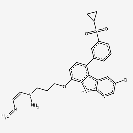 C=N/C=C\N(N)CCCOc1ccc(-c2cccc(S(=O)(=O)C3CC3)c2)c2c1[nH]c1ncc(Cl)cc12